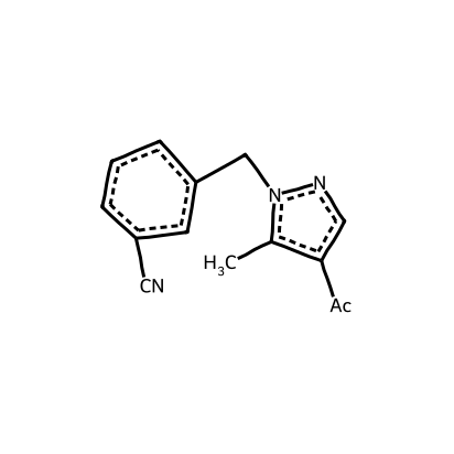 CC(=O)c1cnn(Cc2cccc(C#N)c2)c1C